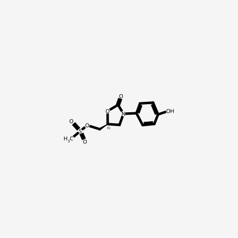 CS(=O)(=O)OC[C@@H]1CN(c2ccc(O)cc2)C(=O)O1